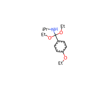 CCOc1ccc(C(NC(C)C)(OCC)OCC)cc1